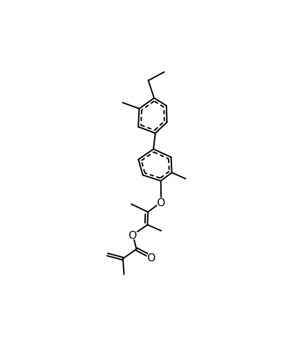 C=C(C)C(=O)O/C(C)=C(\C)Oc1ccc(-c2ccc(CC)c(C)c2)cc1C